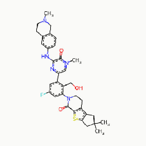 CN1CCc2cc(Nc3nc(-c4cc(F)cc(N5CCc6c(sc7c6CC(C)(C)C7)C5=O)c4CO)cn(C)c3=O)ccc2C1